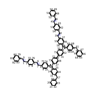 C(=C\c1ccc(/C=C/c2ccc(N(c3ccc(Cc4ccccc4)cc3)c3ccc(-c4ccc(N(c5ccc(/C=C/c6ccc(/C=C/c7ccccc7)cc6)cc5)c5ccc(Cc6ccccc6)cc5)cc4)cc3)cc2)cc1)/c1ccccc1